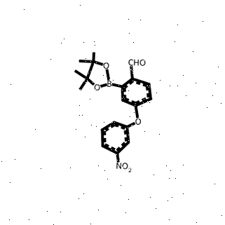 CC1(C)OB(c2cc(Oc3cccc([N+](=O)[O-])c3)ccc2C=O)OC1(C)C